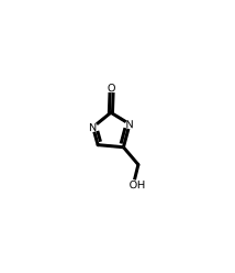 O=C1N=CC(CO)=N1